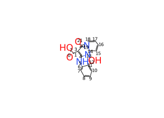 O=C(O)c1c(Nc2ccccc2O)nc2ccccn2c1=O